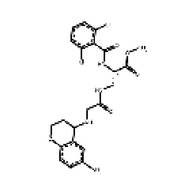 COC(=O)[C@H](CNC(=O)CNC1CCOc2ccc(N)cc21)NC(=O)c1c(Cl)cccc1Cl